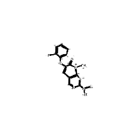 CCN(CC)c1ncc2cc(Oc3ccccc3F)c(=O)n(C)c2n1